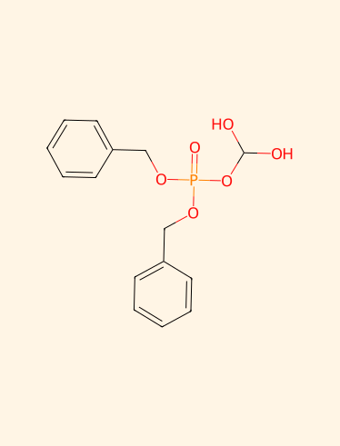 O=P(OCc1ccccc1)(OCc1ccccc1)OC(O)O